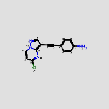 Nc1ccc(C#Cc2cnn3ccc(Cl)nc23)cc1